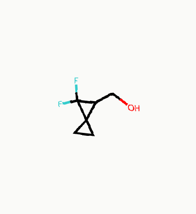 OCC1C(F)(F)C12CC2